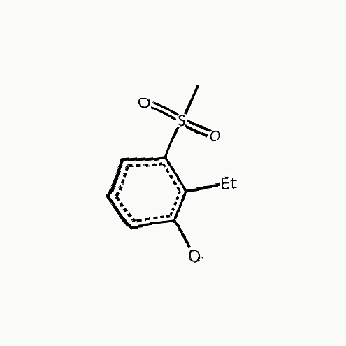 CCc1c([O])cccc1S(C)(=O)=O